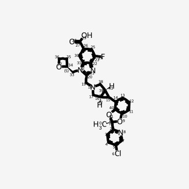 C[C@@]1(c2ccc(Cl)cn2)Oc2cccc(C3[C@H]4CN(Cc5nc6c(F)cc(C(=O)O)cc6n5C[C@@H]5CCO5)C[C@@H]34)c2O1